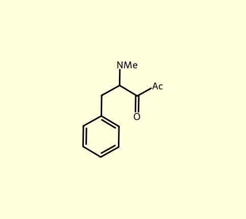 CNC(Cc1ccccc1)C(=O)C(C)=O